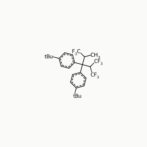 CC(C(F)(F)F)C(c1ccc(C(C)(C)C)cc1)(c1ccc(C(C)(C)C)cc1)C(C(F)(F)F)C(F)(F)F